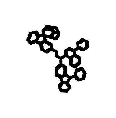 c1ccc(-c2ccc(C(CCc3ccc4c(c3)C3(c5ccccc5-4)C4CC5CC(C4)CC3C5)c3ccc4c5ccccc5n(-c5ccccc5)c4c3)c3ccccc23)cc1